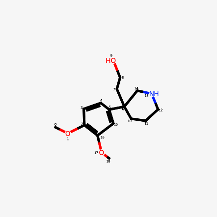 COc1ccc(C2(CCO)CCCNC2)cc1OC